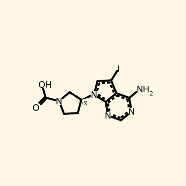 Nc1ncnc2c1c(I)cn2[C@H]1CCN(C(=O)O)C1